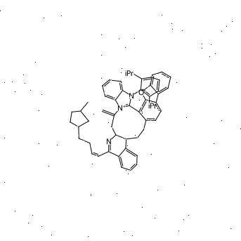 C=C1CC2N=C(/C=C\CCC3CCC(C)C3)c3ccccc3C2CCc2ccc3c(oc4ccccc43)c2-c2n(-c3c(C(C)C)cccc3C(C)C)c3ccccc3[n+]21